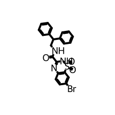 O=C(NCC(c1ccccc1)c1ccccc1)C1=Nc2ccc(Br)cc2S(=O)(=O)N1